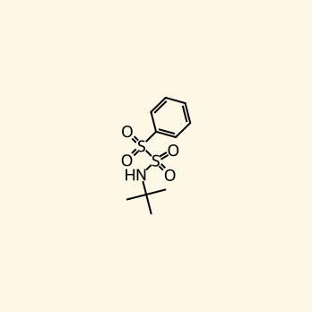 CC(C)(C)NS(=O)(=O)S(=O)(=O)c1ccccc1